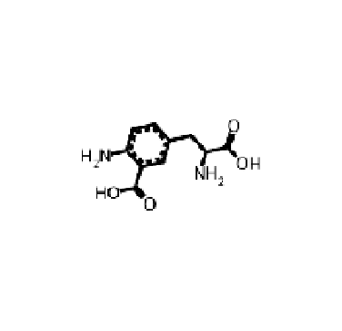 Nc1ccc(CC(N)C(=O)O)cc1C(=O)O